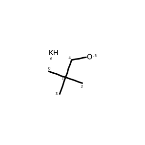 CC(C)(C)C[O].[KH]